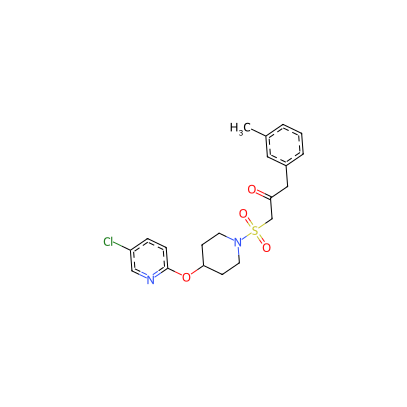 Cc1cccc(CC(=O)CS(=O)(=O)N2CCC(Oc3ccc(Cl)cn3)CC2)c1